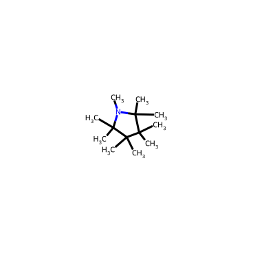 CN1C(C)(C)C(C)(C)C(C)(C)C1(C)C